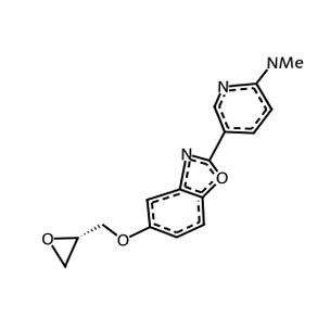 CNc1ccc(-c2nc3cc(OC[C@@H]4CO4)ccc3o2)cn1